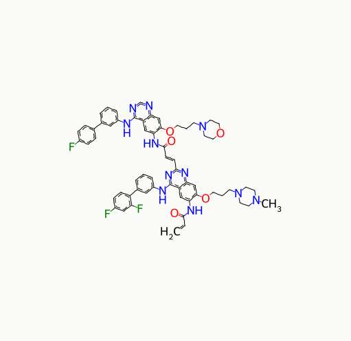 C=CC(=O)Nc1cc2c(Nc3cccc(-c4ccc(F)cc4F)c3)nc(/C=C/C(=O)Nc3cc4c(Nc5cccc(-c6ccc(F)cc6)c5)ncnc4cc3OCCCN3CCOCC3)nc2cc1OCCCN1CCN(C)CC1